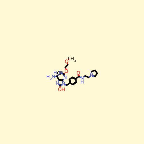 C=C(N)c1nc(O)n(Cc2ccc(C(=O)NCCN3CCCC3)cc2)c1/N=C(\N)OCCOC